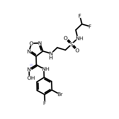 O=S(=O)(CCNc1nonc1/C(=N/O)Nc1ccc(F)c(Br)c1)NCC(F)F